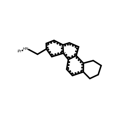 CC(C)NCc1ccc2ccc3c4c(ccc3c2c1)CCCC4